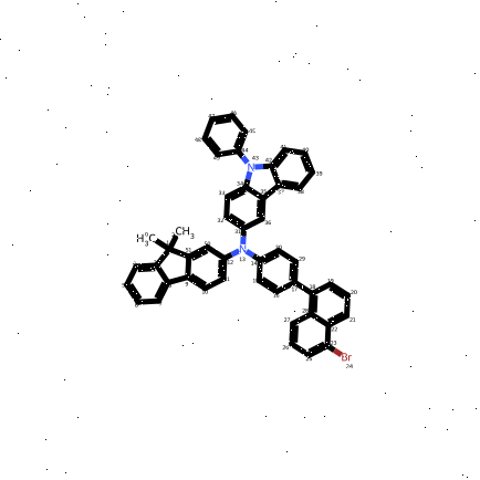 CC1(C)c2ccccc2-c2ccc(N(c3ccc(-c4cccc5c(Br)cccc45)cc3)c3ccc4c(c3)c3ccccc3n4-c3ccccc3)cc21